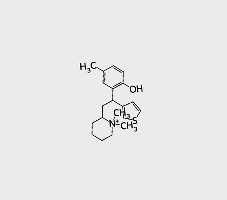 Cc1ccc(O)c(C(CC2CCCC[N+]2(C)C)c2ccsc2)c1